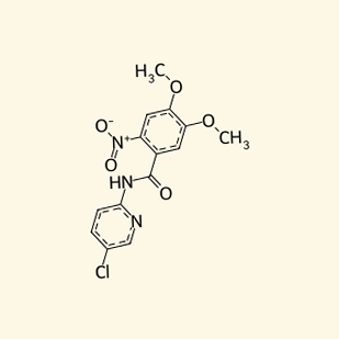 COc1cc(C(=O)Nc2ccc(Cl)cn2)c([N+](=O)[O-])cc1OC